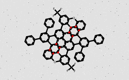 FC(F)(F)c1cc2c3c(c1)-c1cc(-c4c(-c5ccccc5)cc(-c5ccccc5)cc4-c4ccccc4)c4cc5c6c(cc(-c7c(-c8ccccc8)cc(-c8ccccc8)cc7-c7ccccc7)c7cc(c1c4c76)B3c1ccccc1O2)-c1cc(C(F)(F)F)cc2c1B5c1ccccc1O2